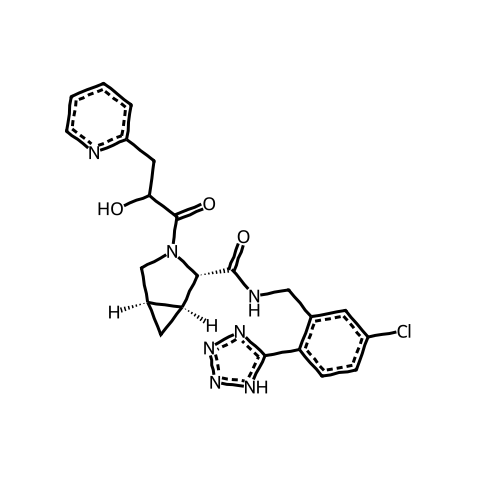 O=C(NCc1cc(Cl)ccc1-c1nnn[nH]1)[C@@H]1[C@H]2C[C@H]2CN1C(=O)C(O)Cc1ccccn1